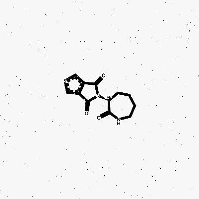 O=C1NCCCC[C@@H]1N1C(=O)c2cscc2C1=O